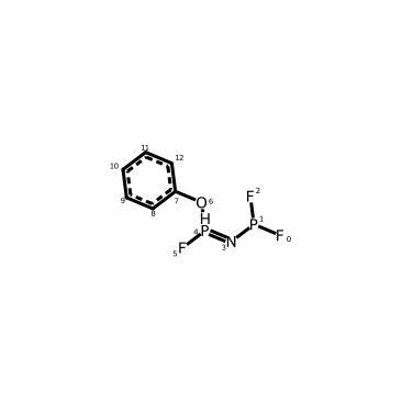 FP(F)/N=[PH](/F)Oc1ccccc1